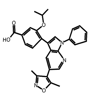 Cc1noc(C)c1-c1cnc2c(c1)c(-c1ccc(C(=O)O)cc1OC(C)C)cn2-c1ccccc1